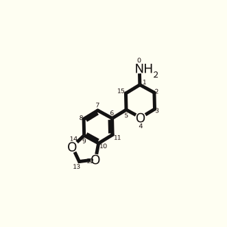 NC1CCOC(c2ccc3c(c2)OCO3)C1